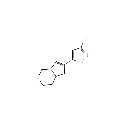 Cc1cc(C2=CC3CNCCC3C2)on1